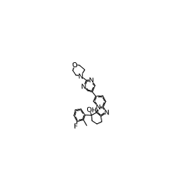 Cc1c(F)cccc1C1(O)CCCc2nc3ccc(-c4cnc(N5CCOCC5)nc4)cn3c21